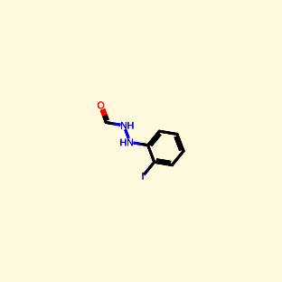 O=CNNc1ccccc1I